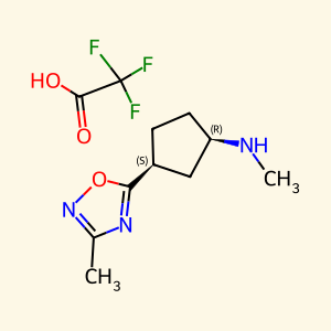 CN[C@@H]1CC[C@H](c2nc(C)no2)C1.O=C(O)C(F)(F)F